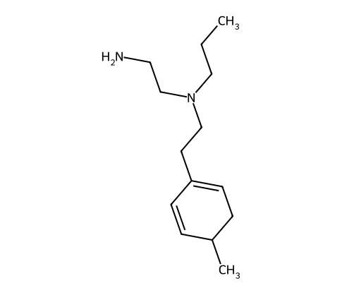 CCCN(CCN)CCC1=CCC(C)C=C1